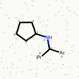 CC(=O)C(NC1CCCC1)C(C)C